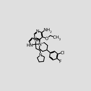 CCOc1c(N)ncnc1[N+]1(C2(CCN3CCCC3)NC=CN2)CCC(c2ccc(F)c(Cl)c2)CC1